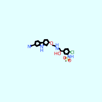 CS(=O)(=O)Nc1cc(C(O)CNCCOc2ccc3c(c2)[nH]c2cc(C#N)ccc23)ccc1Cl